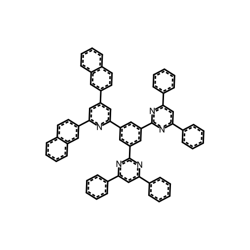 c1ccc(-c2cc(-c3ccccc3)nc(-c3cc(-c4cc(-c5ccc6ccccc6c5)cc(-c5ccc6ccccc6c5)n4)cc(-c4nc(-c5ccccc5)cc(-c5ccccc5)n4)c3)n2)cc1